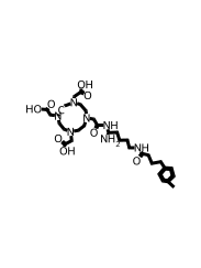 Cc1ccc(CCCC(=O)NCCCC[C@@H](N)NC(=O)CN2CCN(CC(=O)O)CCN(CC(=O)O)CCN(CC(=O)O)CC2)cc1